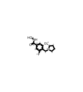 CC[C@@H]1CCCN1Cc1ccc(C(=O)NO)cc1F